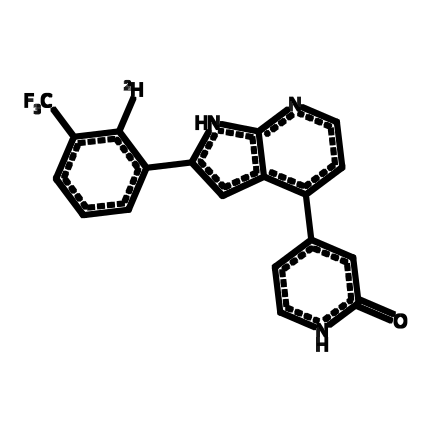 [2H]c1c(-c2cc3c(-c4cc[nH]c(=O)c4)ccnc3[nH]2)cccc1C(F)(F)F